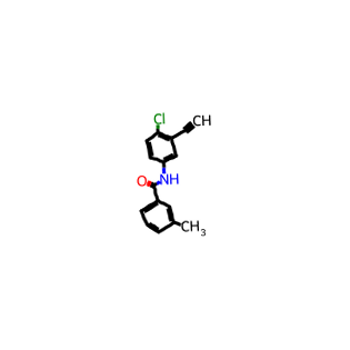 C#Cc1cc(NC(=O)c2cccc(C)c2)ccc1Cl